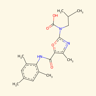 Cc1cc(C)c(NC(=O)c2oc(N(CC(C)C)C(=O)O)nc2C)c(C)c1